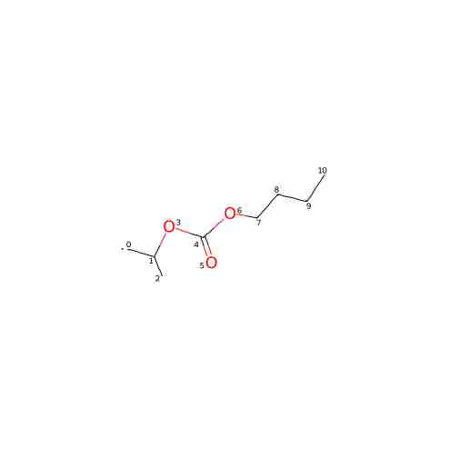 [CH2]C(C)OC(=O)OCCCC